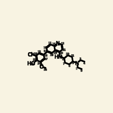 CCN(CC)C1CCC(Nc2ccnc3ccc(-c4cc(Cl)c(O)c(OC)c4)cc23)CC1